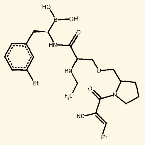 CCc1cccc(C[C@H](NC(=O)C(COCC2CCCN2C(=O)C(C#N)=CC(C)C)NCC(F)(F)F)B(O)O)c1